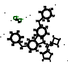 C1=CC[C]([Zr+2](=[C]2CCC2)[CH]2c3ccc(Cc4ccccc4)cc3-c3cc(Cc4ccccc4)ccc32)=C1.[Cl-].[Cl-]